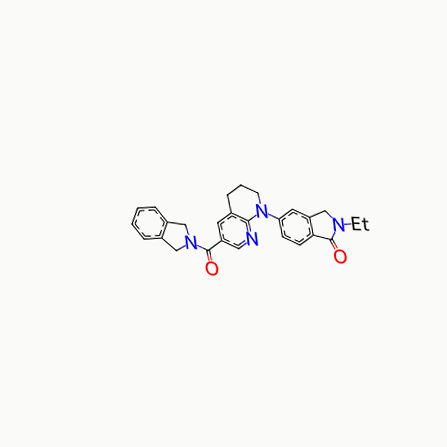 CCN1Cc2cc(N3CCCc4cc(C(=O)N5Cc6ccccc6C5)cnc43)ccc2C1=O